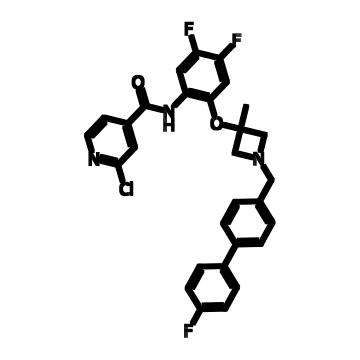 CC1(Oc2cc(F)c(F)cc2NC(=O)c2ccnc(Cl)c2)CN(Cc2ccc(-c3ccc(F)cc3)cc2)C1